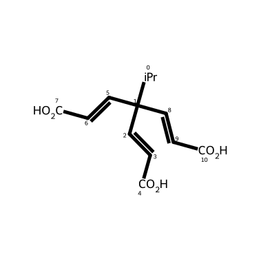 CC(C)C(C=CC(=O)O)(C=CC(=O)O)C=CC(=O)O